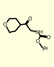 CC(C)OC(=O)NCC(=O)C1CCOCC1